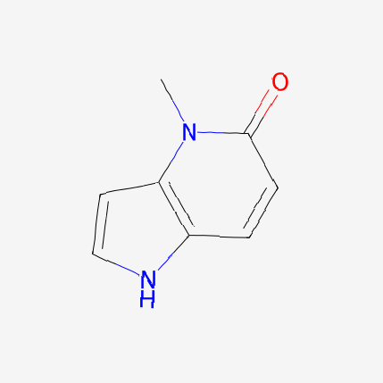 Cn1c(=O)ccc2[nH]ccc21